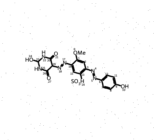 COc1cc(N=Nc2ccc(O)cc2)c(S(=O)(=O)O)cc1N=NC1C(=O)NC(O)NC1=O